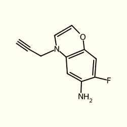 C#CCN1C=COc2cc(F)c(N)cc21